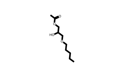 CCCCCOCC(O)COC(C)=O